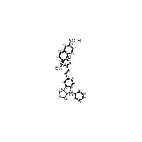 CC[n+]1c(/C=C/c2ccc3c(c2)C2CCCC2N3c2ccccc2)sc2c3ccc(S(=O)(=O)O)cc3ccc21